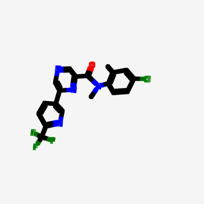 Cc1cc(Cl)ccc1N(C)C(=O)c1cncc(-c2ccc(C(F)(F)F)nc2)n1